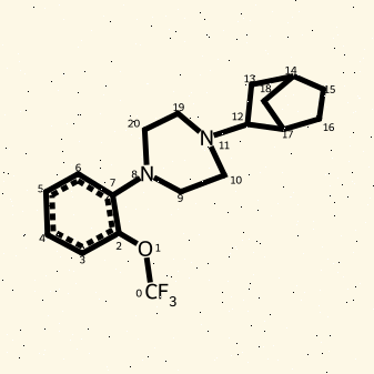 FC(F)(F)Oc1ccccc1N1CCN(C2CC3CCC2C3)CC1